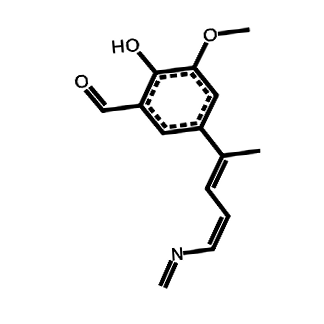 C=N/C=C\C=C(/C)c1cc(C=O)c(O)c(OC)c1